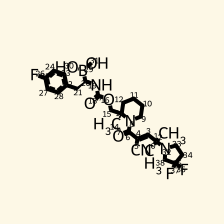 CC(C)(C=C(C#N)C(=O)N1CCCC[C@]1(C)COC(=O)N[C@@H](Cc1ccc(F)cc1)B(O)O)N1CCC(F)(F)C1